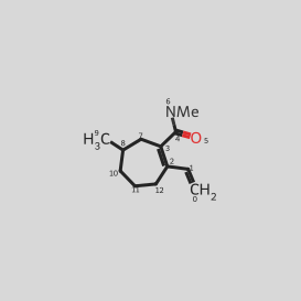 C=CC1=C(C(=O)NC)CC(C)CCC1